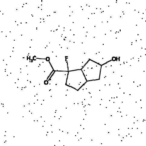 COC(=O)C1(F)CCC2CC(O)CC21